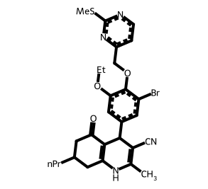 CCCC1CC(=O)C2=C(C1)NC(C)=C(C#N)C2c1cc(Br)c(OCc2ccnc(SC)n2)c(OCC)c1